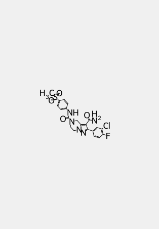 CS(=O)(=O)c1ccc(NC(=O)N2CCn3nc(-c4ccc(F)c(Cl)c4)c(C(N)=O)c3C2)cc1